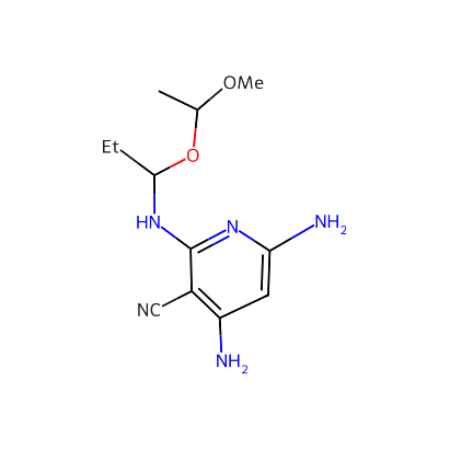 CCC(Nc1nc(N)cc(N)c1C#N)OC(C)OC